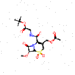 CO[C@H]1C(=O)N2C(C(=O)NCC(=O)OC(C)(C)C)=C(COC(C)=O)CS(=O)(=O)C12